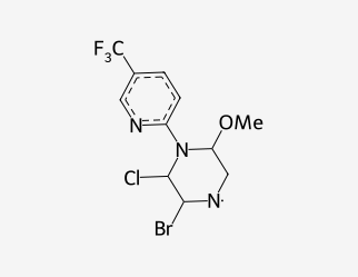 COC1C[N]C(Br)C(Cl)N1c1ccc(C(F)(F)F)cn1